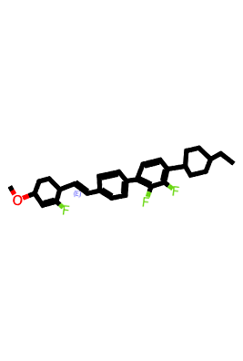 CCC1CCC(c2ccc(-c3ccc(/C=C/C4CCC(OC)C=C4F)cc3)c(F)c2F)CC1